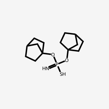 N=P(S)(OC12CCC(CC1)C2)OC12CCC(CC1)C2